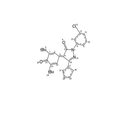 CC(C)(C)C1=CC(=C2C(=O)N(c3cccc(Cl)c3)N=C2c2cccs2)C=C(C(C)(C)C)C1=O